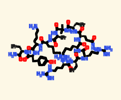 CC(C)C[C@H](NC(=O)[C@H](Cc1ccc(O)cc1)NC(=O)[C@H](CCCCN)NC(=O)[C@H](CCCCN)NC(=O)[C@@H](NC(=O)C(C)(C)NC(=O)[C@H](CC(C)C)NC(=O)[C@H](CCC(N)=O)NC(=O)[C@H](CCCCN)NC(=O)[C@H](CCCNC(=N)N)NC(=O)[C@H](CC(C)C)NC(=O)[C@@H](N)CCCNC(=N)N)C(C)C)C(N)=O